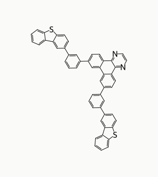 c1cc(-c2ccc3sc4ccccc4c3c2)cc(-c2ccc3c(c2)c2cc(-c4cccc(-c5ccc6sc7ccccc7c6c5)c4)ccc2c2nccnc32)c1